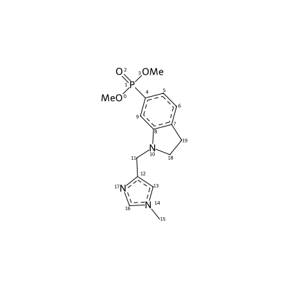 COP(=O)(OC)c1ccc2c(c1)N(Cc1cn(C)cn1)CC2